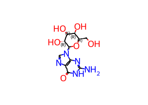 Nc1nc2c(ncn2[C]2O[C@H](CO)[C@H](O)[C@H](O)[C@H]2O)c(=O)[nH]1